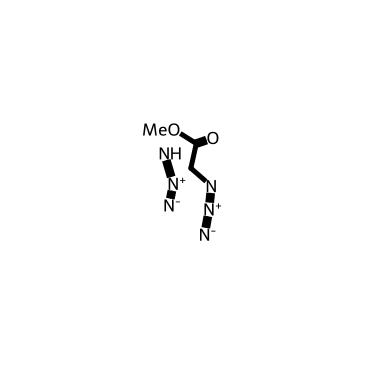 COC(=O)CN=[N+]=[N-].[N-]=[N+]=N